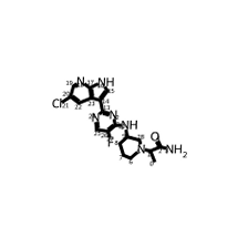 CC(C(N)=O)N1CCCC(Nc2nc(-c3c[nH]c4ncc(Cl)cc34)ncc2F)C1